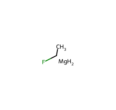 CCF.[MgH2]